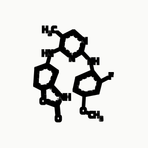 COc1ccc(Nc2ncc(C)c(Nc3ccc4oc(=O)[nH]c4c3)n2)c(F)c1